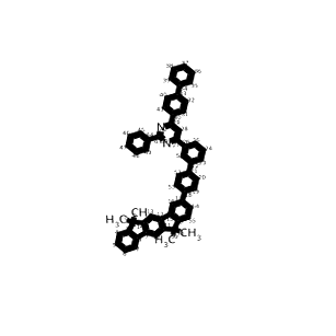 CC1(C)c2ccccc2-c2cc3c(cc21)-c1cc(-c2ccc(-c4cccc(-c5cc(-c6ccc(-c7ccccc7)cc6)nc(-c6ccccc6)n5)c4)cc2)ccc1C3(C)C